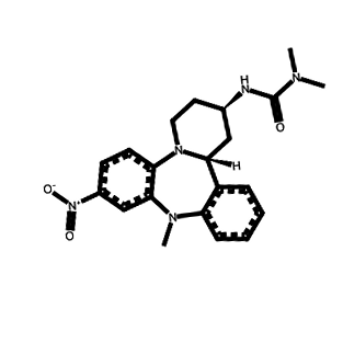 CN(C)C(=O)N[C@@H]1CCN2c3ccc([N+](=O)[O-])cc3N(C)c3ccccc3[C@H]2C1